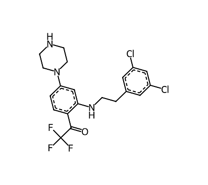 O=C(c1ccc(N2CCNCC2)cc1NCCc1cc(Cl)cc(Cl)c1)C(F)(F)F